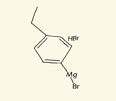 Br.CCc1cc[c]([Mg][Br])cc1